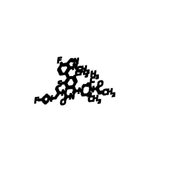 C=CC(=O)N1[C@H](C)CN(c2nc(=O)n3c4c(c(-c5ccc(F)c6cnn(C)c56)c(C)cc24)SCC3CN2CC(F)C2)C[C@@H]1C